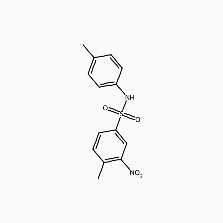 [CH2]c1ccc(NS(=O)(=O)c2ccc(C)c([N+](=O)[O-])c2)cc1